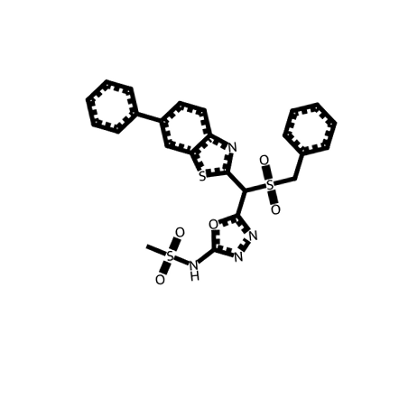 CS(=O)(=O)Nc1nnc(C(c2nc3ccc(-c4ccccc4)cc3s2)S(=O)(=O)Cc2ccccc2)o1